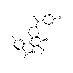 COn1c(N[C@@H](C)c2ccc(C)cc2)nc2c(c1=O)CN(C(=O)c1ccc(Cl)cc1)CC2